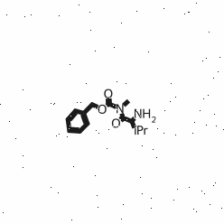 CC(C)C(N)C(=O)N(C)C(=O)OCc1ccccc1